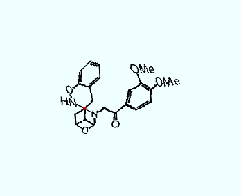 COc1ccc(C(=O)CN2CCC3OC2C3C2Cc3ccccc3ON2)cc1OC